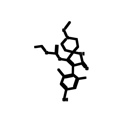 C=C(OCC)OC1=C(c2c(C)cc(O)cc2C)C(=O)NC12CCN(OC)CC2